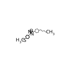 CCCCCC1CCC(c2nc(-c3ccc(SC)cc3)no2)CC1